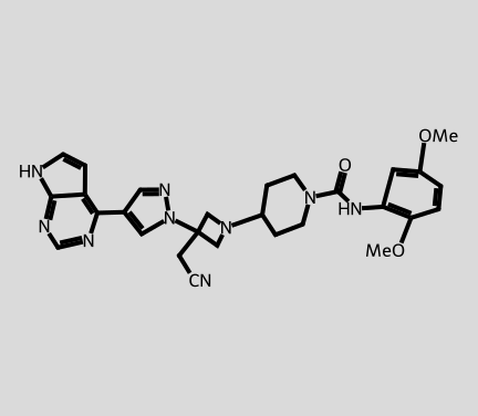 COc1ccc(OC)c(NC(=O)N2CCC(N3CC(CC#N)(n4cc(-c5ncnc6[nH]ccc56)cn4)C3)CC2)c1